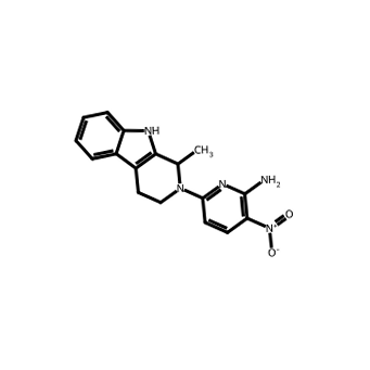 CC1c2[nH]c3ccccc3c2CCN1c1ccc([N+](=O)[O-])c(N)n1